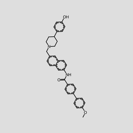 COc1ccc(-c2ccc(C(=O)Nc3ccc4cc(CN5CCC(c6ccc(O)cc6)CC5)ccc4c3)cc2)cc1